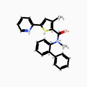 Cc1cc(-c2ccccn2)sc1C(=O)N(C)c1ccccc1-c1ccccc1